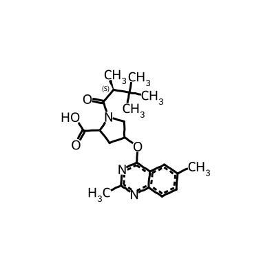 Cc1ccc2nc(C)nc(OC3CC(C(=O)O)N(C(=O)[C@@H](C)C(C)(C)C)C3)c2c1